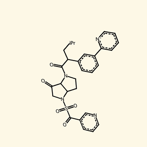 CC(C)CC(C(=O)N1CCC2C1C(=O)CN2S(=O)(=O)C(=O)c1cccnc1)c1cccc(-c2ccccn2)c1